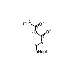 CCCCCCCCCC(=O)OC(=O)C(Cl)(Cl)Cl